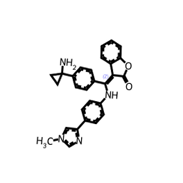 Cn1cnc(-c2ccc(N/C(=C3\C(=O)Oc4ccccc43)c3ccc(C4(N)CC4)cc3)cc2)c1